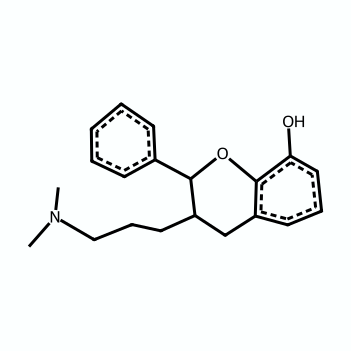 CN(C)CCCC1Cc2cccc(O)c2OC1c1ccccc1